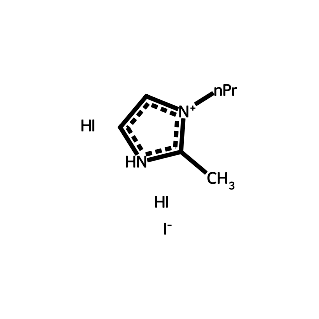 CCC[n+]1cc[nH]c1C.I.I.[I-]